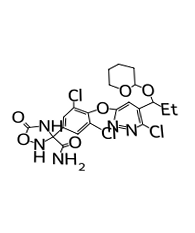 CCC(OC1CCCCO1)c1cc(Oc2c(Cl)cc(C3(C(N)=O)NOC(=O)N3)cc2Cl)nnc1Cl